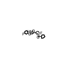 O=C(c1ccccc1F)N1CCC[C@H](C2=CN(Oc3cccc(F)c3)NO2)C1